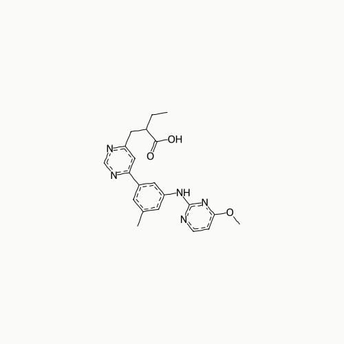 CCC(Cc1cc(-c2cc(C)cc(Nc3nccc(OC)n3)c2)ncn1)C(=O)O